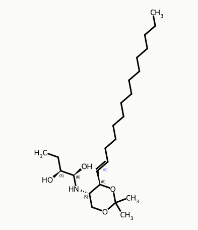 CCCCCCCCCCCCC/C=C/[C@H]1OC(C)(C)OC[C@@H]1N[C@H](O)[C@@H](O)CC